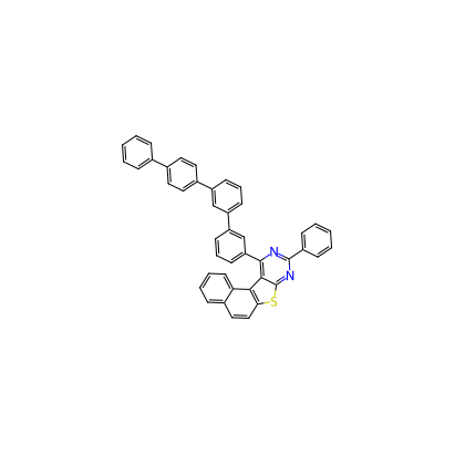 c1ccc(-c2ccc(-c3cccc(-c4cccc(-c5nc(-c6ccccc6)nc6sc7ccc8ccccc8c7c56)c4)c3)cc2)cc1